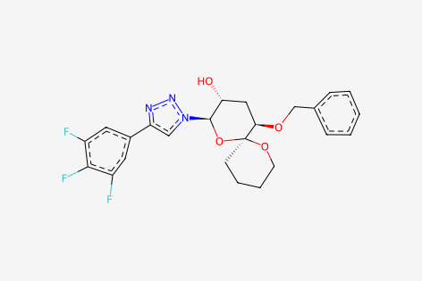 O[C@@H]1C[C@@H](OCc2ccccc2)[C@]2(CCCCO2)O[C@H]1n1cc(-c2cc(F)c(F)c(F)c2)nn1